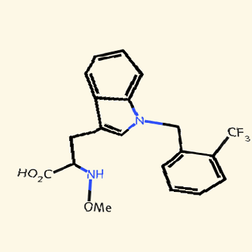 CONC(Cc1cn(Cc2ccccc2C(F)(F)F)c2ccccc12)C(=O)O